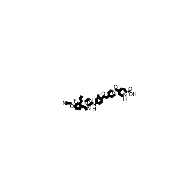 C=CCc1c(-c2cnc3c(Nc4ccc(C(=O)CC5CCN(C(=O)C6=CC[C@H](C(=O)O)NCC6)CC5)c(C)c4)nccn23)ccc(OCC#N)c1F